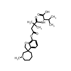 CCC1(c2cccc(OC(=O)CC(C)(C)C(=O)N[C@H](C(=O)O)C(C)C)c2)CCCCN(C)C1